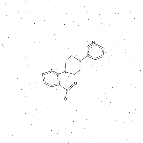 O=[N+]([O-])c1cccnc1N1CCN(c2cccnc2)CC1